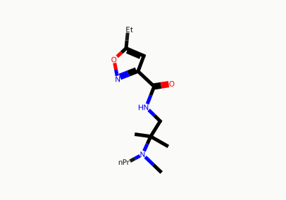 CCCN(C)C(C)(C)CNC(=O)c1cc(CC)on1